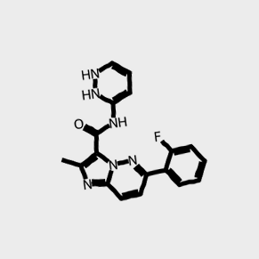 Cc1nc2ccc(-c3ccccc3F)nn2c1C(=O)NC1=CC=CNN1